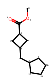 COC(=O)C1CC(CC2CCCC2)C1